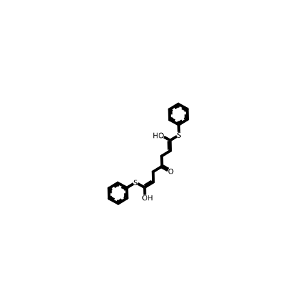 O=C(CC=C(O)Sc1ccccc1)CC=C(O)Sc1ccccc1